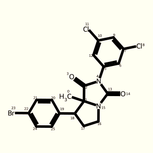 CC12C(=O)N(c3cc(Cl)cc(Cl)c3)C(=O)N1CCC2c1ccc(Br)cc1